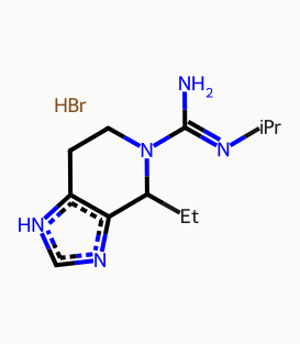 Br.CCC1c2nc[nH]c2CCN1C(N)=NC(C)C